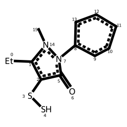 CCc1c(SS)c(=O)n(-c2ccccc2)n1C